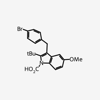 COc1ccc2c(c1)c(Cc1ccc(Br)cc1)c(C(C)(C)C)n2C(=O)O